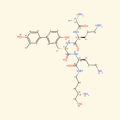 Cc1cc(-c2ccc(O)c(C[C@H](NC(=O)[C@H](CCCN)NC(=O)[C@H](C)N)C(=O)N[C@@H](CCCN)C(=O)NCCC[C@H](N)CO)c2)ccc1O